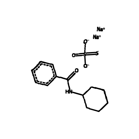 O=C(NC1CCCCC1)c1ccccc1.O=S([O-])([O-])=S.[Na+].[Na+]